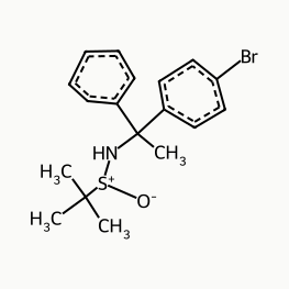 CC(N[S+]([O-])C(C)(C)C)(c1ccccc1)c1ccc(Br)cc1